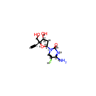 C#C[C@]1(CO)O[C@H](n2cc(F)c(N)nc2=O)C[C@@H]1O